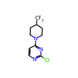 FC(F)(F)C1CCN(c2ccnc(Cl)n2)CC1